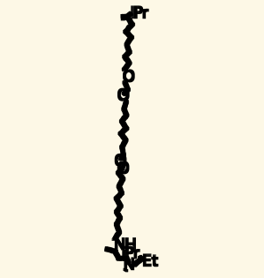 C=C(CCCCCCCCOCCOCCCCCCCCCOOCCCCCCCCCCCNC(C)CCN(C)CC(CC)C(C)C)C(C)C